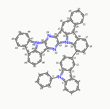 c1ccc(-n2c3ccccc3c3cc(-c4cccc5c6c7ccccc7cc7c8nc9c(nc8n(c45)c76)c4cccc5c6ccccc6n9c54)ccc32)cc1